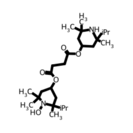 CC(C)C1(C)CC(OC(=O)CCC(=O)OC2CC(C)(C)N(O)C(C)(C(C)C)C2)CC(C)(C)N1